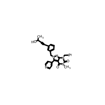 CC(O)C#Cc1cccc(Cn2nc3c(c2-c2ccncc2)c(=O)n(C)c(=O)n3CC(C)C)c1